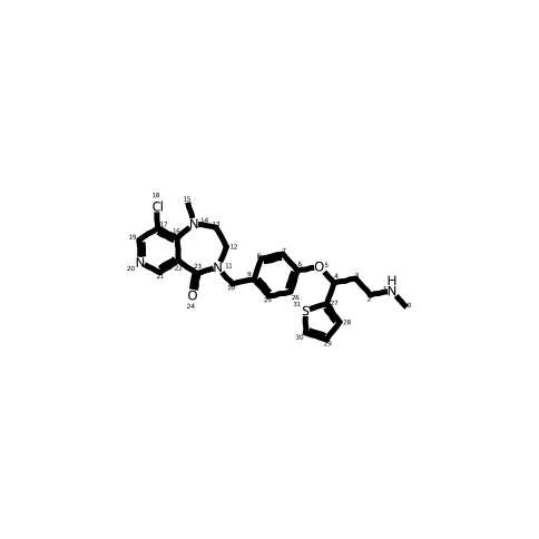 CNCCC(Oc1ccc(CN2CCN(C)c3c(Cl)cncc3C2=O)cc1)c1cccs1